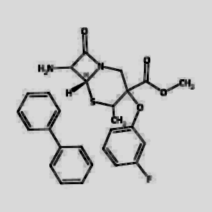 COC(=O)C1(Oc2cccc(F)c2)CN2C(=O)C(N)[C@H]2SC1C.c1ccc(-c2ccccc2)cc1